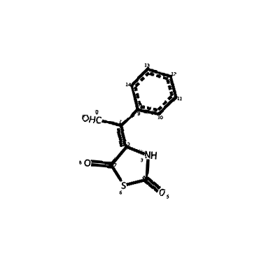 O=CC(=C1NC(=O)SC1=O)c1ccccc1